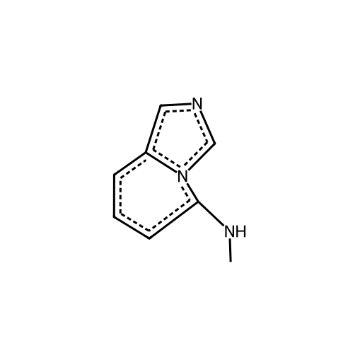 CNc1cccc2cncn12